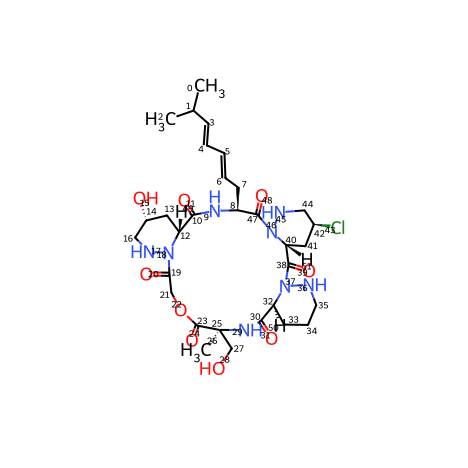 CC(C)/C=C/C=C/C[C@@H]1NC(=O)[C@H]2C[C@@H](O)CNN2C(=O)COC(=O)[C@](C)(CO)NC(=O)[C@@H]2CCCNN2C(=O)[C@H]2C[C@H](Cl)CNN2C1=O